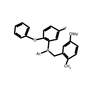 COc1ccc(C)c(CN(C(C)=O)c2cc(F)ccc2Oc2ccccc2)c1